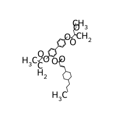 C=C(C)C(=O)Oc1ccc(-c2ccc(OC(=O)C(=C)COC)cc2)cc1OC(=O)/C=C/C1CCC(CCCC)CC1